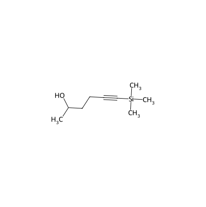 CC(O)CCC#C[Si](C)(C)C